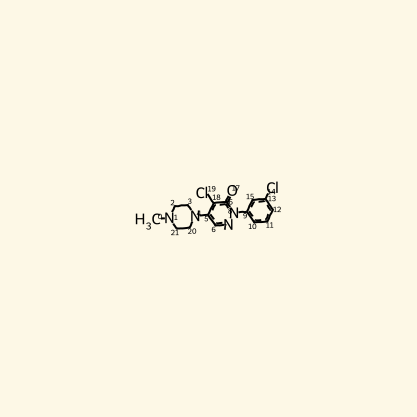 CN1CCN(c2cnn(-c3cccc(Cl)c3)c(=O)c2Cl)CC1